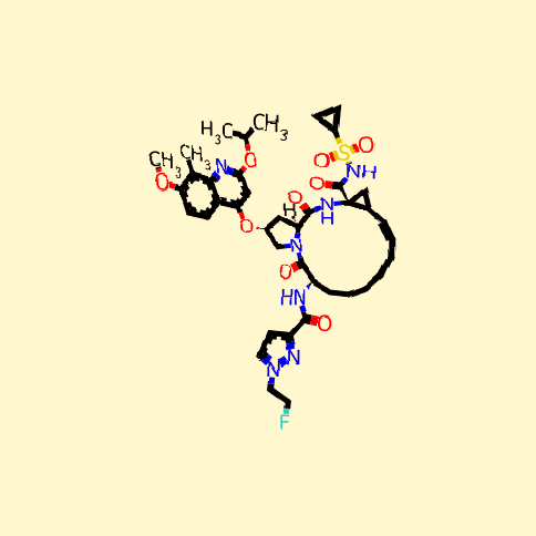 COc1ccc2c(O[C@@H]3C[C@H]4C(=O)N[C@]5(C(=O)NS(=O)(=O)C6CC6)CC5/C=C\CCCCC[C@H](NC(=O)c5ccn(CCF)n5)C(=O)N4C3)cc(OC(C)C)nc2c1C